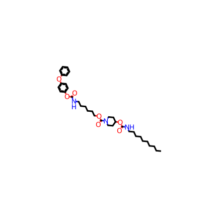 CCCCCCCCCCNC(=O)OC1CCN(C(=O)OCCCCCCNC(=O)Oc2ccc(Oc3ccccc3)cc2)CC1